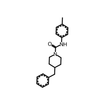 Cc1ccc(NC(=O)N2CCC(Cc3ccccc3)CC2)cc1